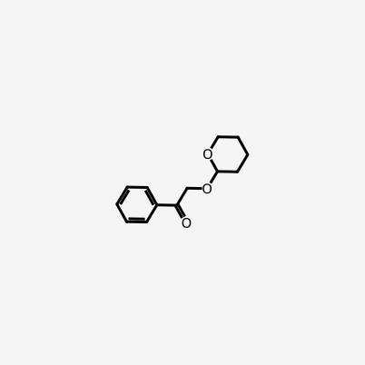 O=C(COC1CCCCO1)c1ccccc1